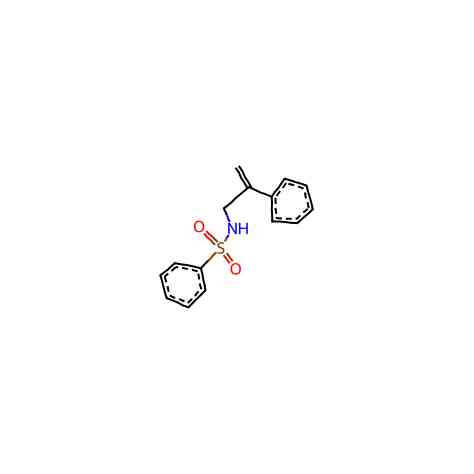 C=C(CNS(=O)(=O)c1ccccc1)c1ccccc1